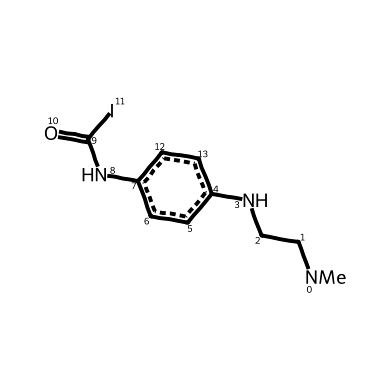 CNCCNc1ccc(NC(=O)I)cc1